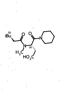 CC[C@H](C)CC(=O)N(C)[C@@H](CC(=O)O)C(=O)N1CCCCC1